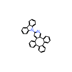 c1ccc2c(c1)-c1ccccc1-c1cnc(-n3c4ccccc4c4ccccc43)cc1-c1ccccc1-2